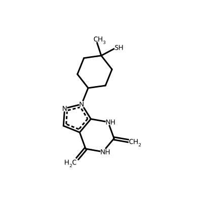 C=C1NC(=C)c2cnn(C3CCC(C)(S)CC3)c2N1